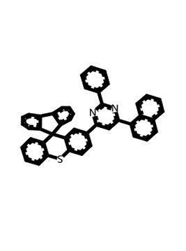 c1ccc(-c2nc(-c3ccc4c(c3)C3(c5ccccc5S4)c4ccccc4-c4ccccc43)cc(-c3cccc4ccccc34)n2)cc1